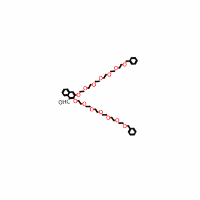 O=Cc1c(OCCOCCOCCOCCOCCOCCOCc2ccccc2)c(OCCOCCOCCOCCOCCOCCOCc2ccccc2)cc2ccccc12